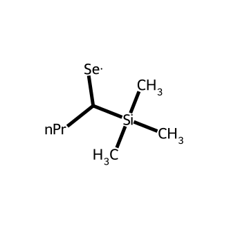 CCCC([Se])[Si](C)(C)C